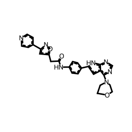 O=C(Cc1cc(-c2ccncc2)no1)Nc1ccc(-c2cc3c(N4CCOCC4)ncnc3[nH]2)cc1